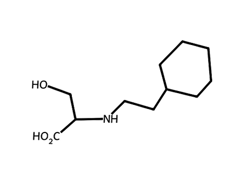 O=C(O)C(CO)NCCC1CCCCC1